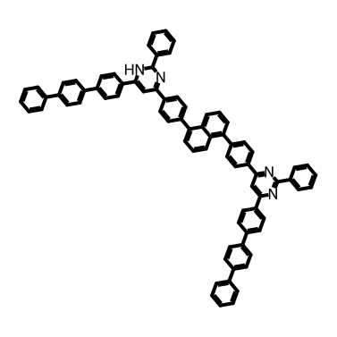 C1=C(c2ccc(-c3ccc(-c4ccccc4)cc3)cc2)NC(c2ccccc2)N=C1c1ccc(-c2cccc3c(-c4ccc(-c5cc(-c6ccc(-c7ccc(-c8ccccc8)cc7)cc6)nc(-c6ccccc6)n5)cc4)cccc23)cc1